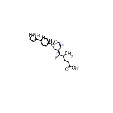 C/C=C\C(COc1ccc(-c2ccn[nH]2)nc1)=C(\F)C(C)CCC(=O)O